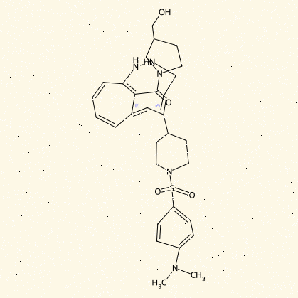 CN(C)c1ccc(S(=O)(=O)N2CCC(C3=C\CNNC4=C(C(=O)N5CCC(CO)C5)\C(=C\3)C=CC=C4)CC2)cc1